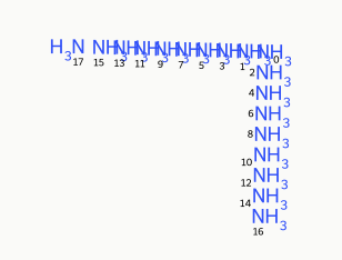 N.N.N.N.N.N.N.N.N.N.N.N.N.N.N.N.N.N